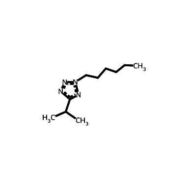 CCCCCCn1nnc(C(C)C)n1